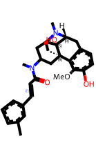 COc1c(O)ccc2c1[C@]13CCN(C)[C@H](C2)[C@]1(O)CCC(N(C)C(=O)/C=C/c1cccc(C)c1)C3